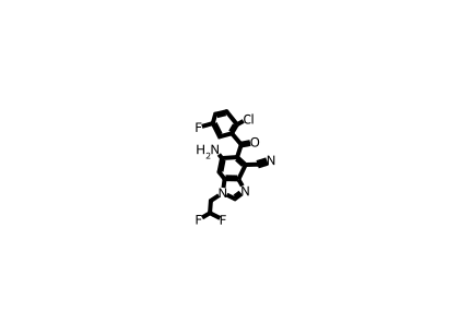 N#Cc1c(C(=O)c2cc(F)ccc2Cl)c(N)cc2c1ncn2CC(F)F